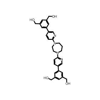 OCc1cc(CO)cc(-c2ccc(N3CCCN(c4ccc(-c5cc(CO)cc(CO)c5)cn4)CC3)nc2)c1